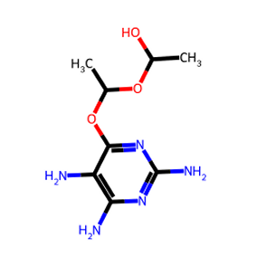 CC(O)OC(C)Oc1nc(N)nc(N)c1N